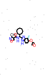 Cc1nocc1C(=O)NC(c1nc2c(F)c(OC3COC3)ccc2[nH]1)C1CCCCCCC1